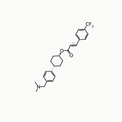 CN(C)Cc1ccc([C@H]2CC[C@H](OC(=O)/C=C/c3ccc(C(F)(F)F)cc3)CC2)cc1